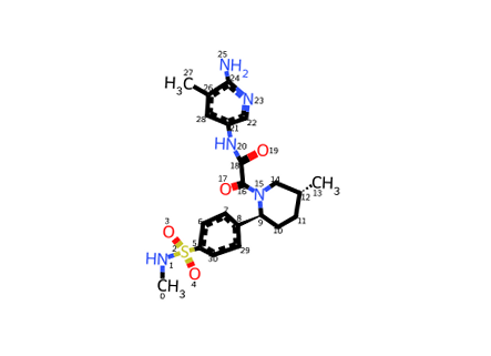 CNS(=O)(=O)c1ccc([C@@H]2CC[C@@H](C)CN2C(=O)C(=O)Nc2cnc(N)c(C)c2)cc1